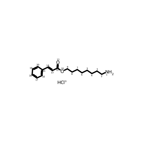 Cl.NCCCCCCCCOC(=O)C=Cc1ccccc1